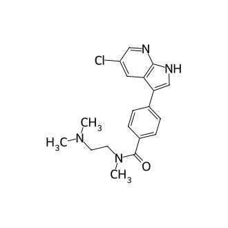 CN(C)CCN(C)C(=O)c1ccc(-c2c[nH]c3ncc(Cl)cc23)cc1